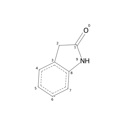 O=C1Cc2cc[c]cc2N1